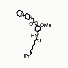 COc1cc(CNC(=O)CCCC/C=C/C(C)C)ccc1OC(=O)CN1CCC(N2CCCCC2)CC1